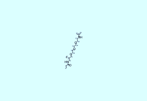 CCC(=O)NCC(F)COCCOCCOCCNC(C)C